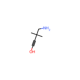 CC(C)(C#CO)CN